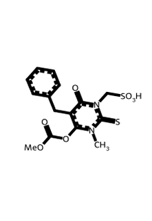 COC(=O)Oc1c(Cc2ccccc2)c(=O)n(CS(=O)(=O)O)c(=S)n1C